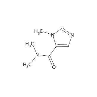 CN(C)C(=O)c1cncn1C